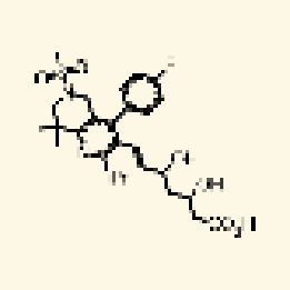 CC(C)c1nc2c(c(-c3ccc(F)cc3)c1/C=C/[C@@H](O)C[C@@H](O)CC(=O)O)CN(S(C)(=O)=O)CC2(C)C